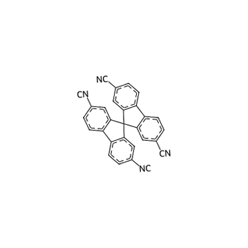 [C-]#[N+]c1ccc2c(c1)C1(c3cc(C#N)ccc3-c3ccc(C#N)cc31)c1cc([N+]#[C-])ccc1-2